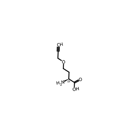 C#CCOCC[C@H](N)C(=O)O